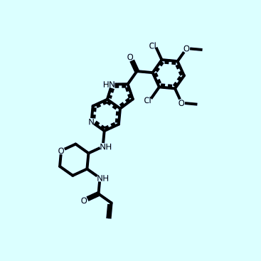 C=CC(=O)NC1CCOCC1Nc1cc2cc(C(=O)c3c(Cl)c(OC)cc(OC)c3Cl)[nH]c2cn1